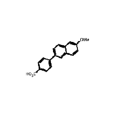 COc1ccc2cc(-c3ccc(C(=O)O)cc3)ccc2c1